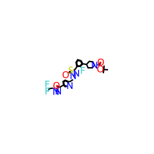 CC(C)(C)OC(=O)N1CCC(c2cccc(-c3nn(Cc4ccc(-c5nnc(C(F)F)o5)cn4)c(=O)s3)c2F)CC1